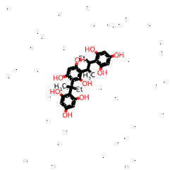 CCC(c1c(O)cc(O)cc1O)C(C)c1c(O)cc(O)c(C(C)(CC)c2c(O)cc(O)cc2O)c1O